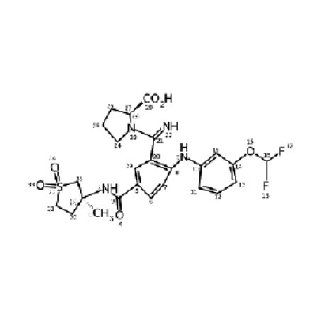 C[C@]1(NC(=O)c2ccc(Nc3cccc(OC(F)F)c3)c(C(=N)N3CCC[C@H]3C(=O)O)c2)CCS(=O)(=O)C1